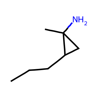 CCCC1CC1(C)N